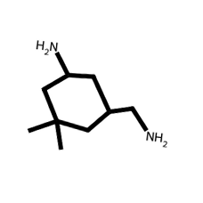 CC1(C)CC(N)CC(CN)C1